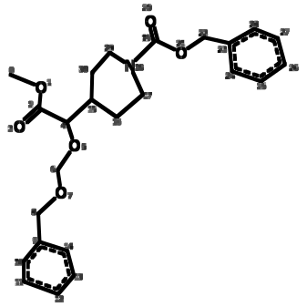 COC(=O)C(OCOCc1ccccc1)C1CCN(C(=O)OCc2ccccc2)CC1